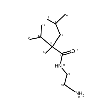 CC(C)CC(C)(C(=O)NCCN)C(C)C